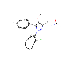 CNC(=O)N[C@H]1CCCOc2c1nn(-c1ccccc1Cl)c2-c1ccc(Cl)cc1